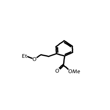 CCOCCc1ccccc1C(=O)OC